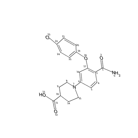 NC(=O)c1ccc(N2CCC(C(=O)O)CC2)cc1Oc1ccc(Cl)cc1